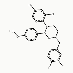 COc1ccc(C2CN(Cc3ccc(F)c(F)c3)CCN2c2ccc(Cl)cc2Cl)cn1